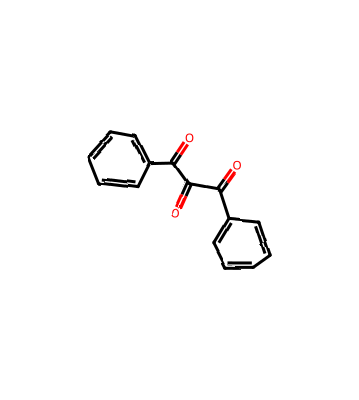 O=C(C(=O)c1ccccc1)C(=O)c1ccccc1